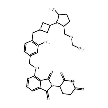 CCOCC1CCC(C)N1C1CN(Cc2ccc(CNc3cccc4c3C(=O)N(C3CCC(=O)NC3=O)C4=O)cc2C)C1